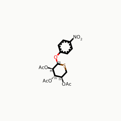 CC(=O)O[C@@H]1[C@@H](OC(C)=O)[C@@H](Oc2ccc([N+](=O)[O-])cc2)SC[C@H]1OC(C)=O